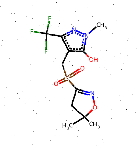 Cn1nc(C(F)(F)F)c(CS(=O)(=O)C2=NOC(C)(C)C2)c1O